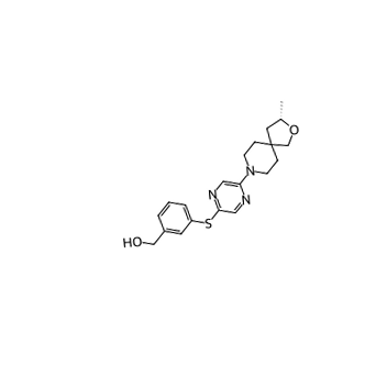 C[C@H]1CC2(CCN(c3cnc(Sc4cccc(CO)c4)cn3)CC2)CO1